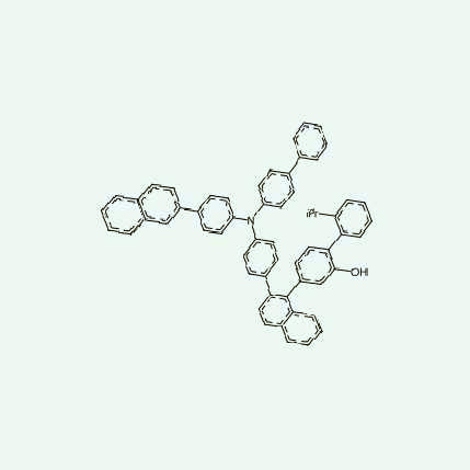 CC(C)c1ccccc1-c1ccc(-c2c(-c3ccc(N(c4ccc(-c5ccccc5)cc4)c4ccc(-c5ccc6ccccc6c5)cc4)cc3)ccc3ccccc23)cc1O